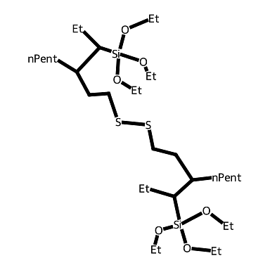 CCCCCC(CCSSCCC(CCCCC)C(CC)[Si](OCC)(OCC)OCC)C(CC)[Si](OCC)(OCC)OCC